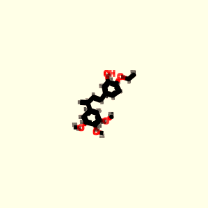 C=C(/C=C/c1ccc(OCC)c(O)c1)c1cc(OC)c(OC)c(OC)c1